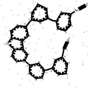 [C-]#[N+]c1cccc(-c2cccc(-c3ccc4oc5ccc(-c6cccc(-c7cccc(C#N)c7)c6)cc5c4c3)c2)c1